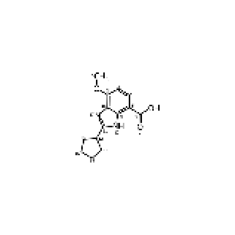 COc1ccc(C(=O)O)c2[nH]c(C3CCCC3)nc12